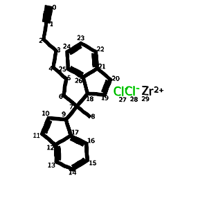 C#CCCCCCC(C)(C1C=Cc2ccccc21)C1C=Cc2ccccc21.[Cl-].[Cl-].[Zr+2]